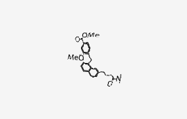 COC(=O)c1ccc(Cc2cccc3ccc(CCCC(=O)N(C)C)cc23)c(OC)c1